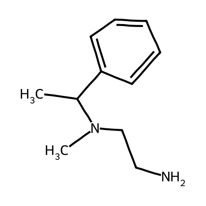 CC(c1ccccc1)N(C)CCN